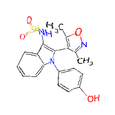 Cc1noc(C)c1-c1c(N[SH](=O)=O)c2ccccc2n1-c1ccc(O)cc1